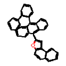 c1ccc(-c2ccccc2-c2c3ccccc3c(-c3cc4c(ccc5ccccc54)o3)c3ccccc23)cc1